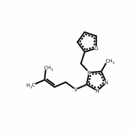 CC(C)=CCSc1nnc(C)n1Cc1ccco1